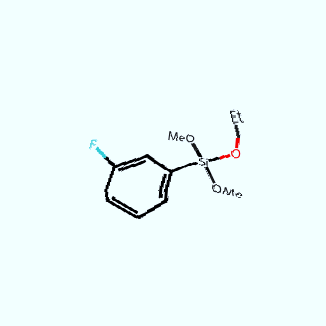 CCO[Si](OC)(OC)c1cccc(F)c1